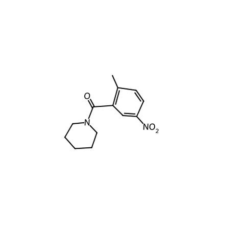 Cc1ccc([N+](=O)[O-])cc1C(=O)N1CCCCC1